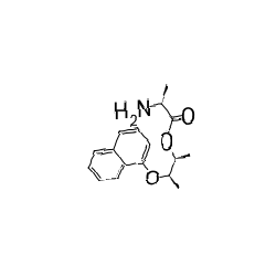 C[C@H](N)C(=O)O[C@@H](C)[C@@H](C)Oc1cccc2ccccc12